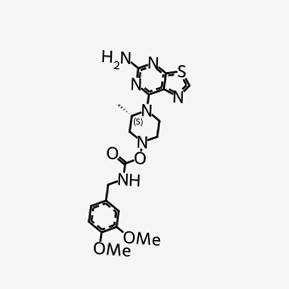 COc1ccc(CNC(=O)ON2CCN(c3nc(N)nc4scnc34)[C@@H](C)C2)cc1OC